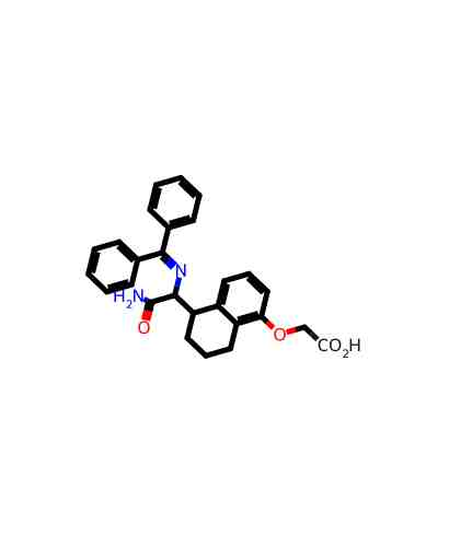 NC(=O)C(N=C(c1ccccc1)c1ccccc1)C1CCCc2c(OCC(=O)O)cccc21